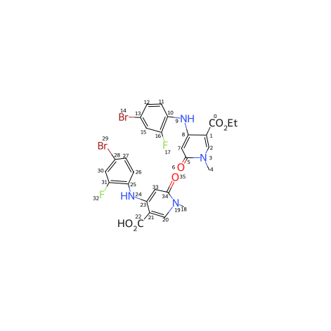 CCOC(=O)c1cn(C)c(=O)cc1Nc1ccc(Br)cc1F.Cn1cc(C(=O)O)c(Nc2ccc(Br)cc2F)cc1=O